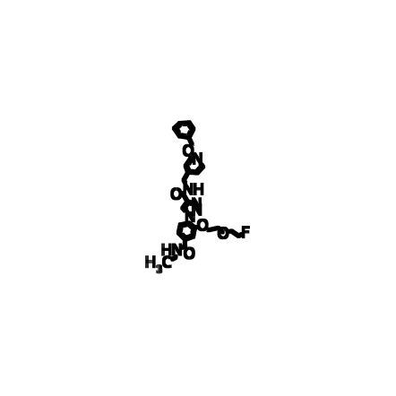 CCNC(=O)c1ccc(-n2cc(C(=O)NCc3ccnc(OCc4ccccc4)c3)nn2)c(OCCOCCF)c1